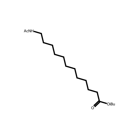 CC(=O)NCCCCCCCCCCCC(=O)OCC(C)C